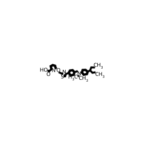 CCCC(CCC)c1ccc(N(Cc2ccc(-c3csc(COc4cccc(C(=O)O)n4)n3)cc2)C(C)C)cc1